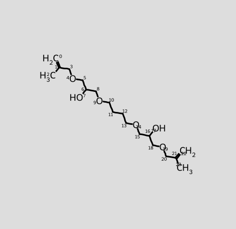 C=C(C)COCC(O)COCCCCOCC(O)COCC(=C)C